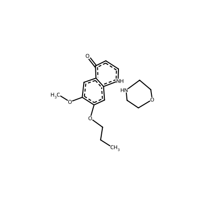 C1COCCN1.CCCOc1cc2[nH]ccc(=O)c2cc1OC